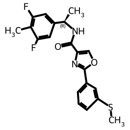 CSc1cccc(-c2nc(C(=O)N[C@H](C)c3cc(F)c(C)c(F)c3)co2)c1